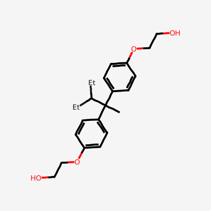 CCC(CC)C(C)(c1ccc(OCCO)cc1)c1ccc(OCCO)cc1